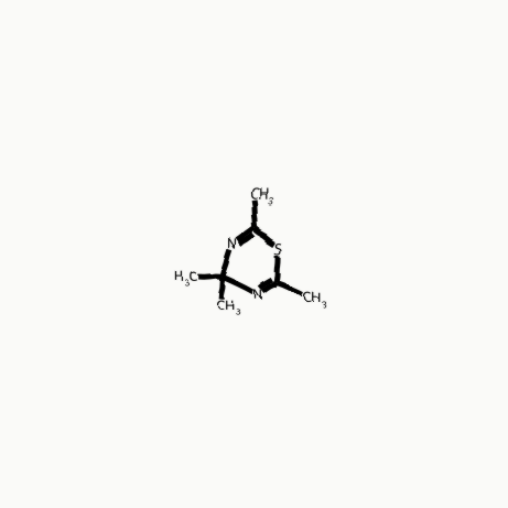 CC1=NC(C)(C)N=C(C)S1